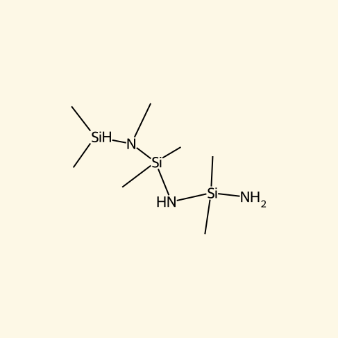 CN([SiH](C)C)[Si](C)(C)N[Si](C)(C)N